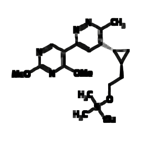 COc1ncc(-c2cc([C@@H]3C[C@H]3CCO[Si](C)(C)C(C)(C)C)c(C)nn2)c(OC)n1